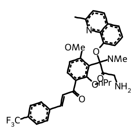 CCCOc1c(C(=O)/C=C/c2ccc(C(F)(F)F)cc2)ccc(OC)c1C(NC)(Oc1cccc2ccc(C)nc12)C(=O)CN